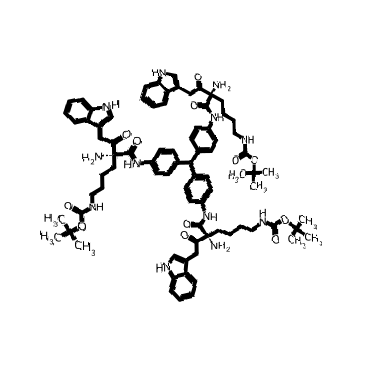 CC(C)(C)OC(=O)NCCCC[C@@](N)(C(=O)Cc1c[nH]c2ccccc12)C(=O)Nc1ccc(C(c2ccc(NC(=O)[C@@](N)(CCCCNC(=O)OC(C)(C)C)C(=O)Cc3c[nH]c4ccccc34)cc2)c2ccc(NC(=O)[C@@](N)(CCCCNC(=O)OC(C)(C)C)C(=O)Cc3c[nH]c4ccccc34)cc2)cc1